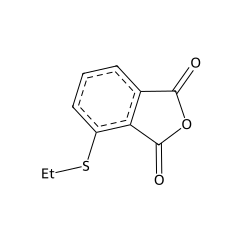 CCSc1cccc2c1C(=O)OC2=O